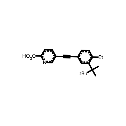 CCCCC(C)(C)c1cc(C#Cc2ccc(C(=O)O)nc2)ccc1CC